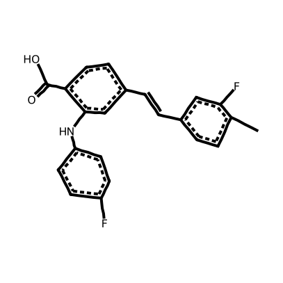 Cc1ccc(/C=C/c2ccc(C(=O)O)c(Nc3ccc(F)cc3)c2)cc1F